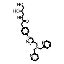 O=C(Cc1ccc(-n2cc(CN(Cc3ccccn3)Cc3ccccn3)nn2)cc1)NCC(O)CO